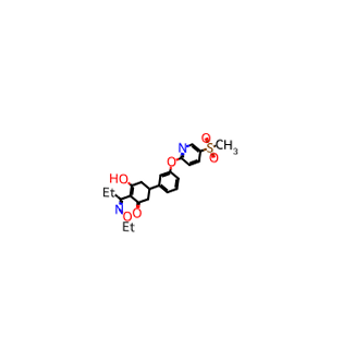 CCO/N=C(/CC)C1=C(O)CC(c2cccc(Oc3ccc(S(C)(=O)=O)cn3)c2)CC1=O